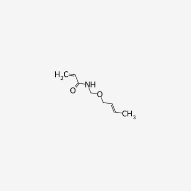 C=CC(=O)NCOCC=CC